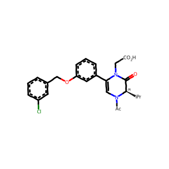 CC(=O)N1C=C(c2cccc(OCc3cccc(Cl)c3)c2)N(CC(=O)O)C(=O)[C@H]1C(C)C